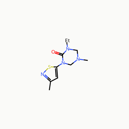 CCN1CN(C)CN(c2cc(C)ns2)C1=O